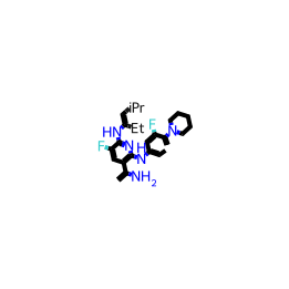 C=C(N)c1cc(F)c(N/C(=C/C(C)C)CC)nc1NC(=C/C)/C=C(/F)C(=C)N1CCCCC1